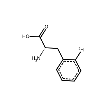 [2H]c1ccccc1C[C@H](N)C(=O)O